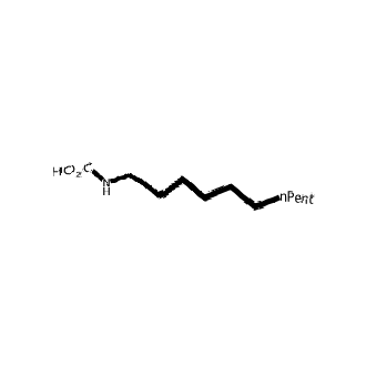 CCCCCCCCCCCNC(=O)O